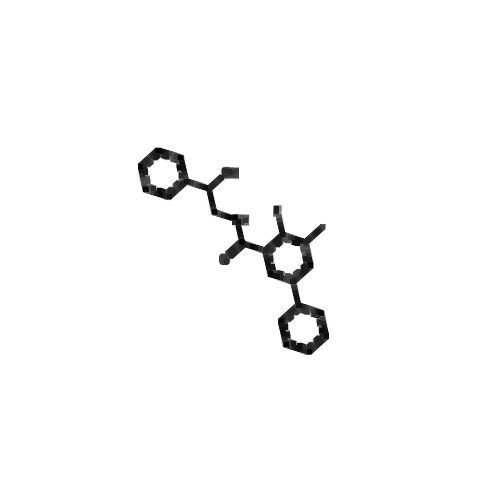 Cc1cc(-c2ccccc2)cc(C(=O)NCC(O)c2ccccc2)c1F